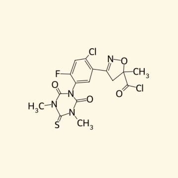 Cn1c(=S)n(C)c(=O)n(-c2cc(C3=NOC(C)(C(=O)Cl)C3)c(Cl)cc2F)c1=O